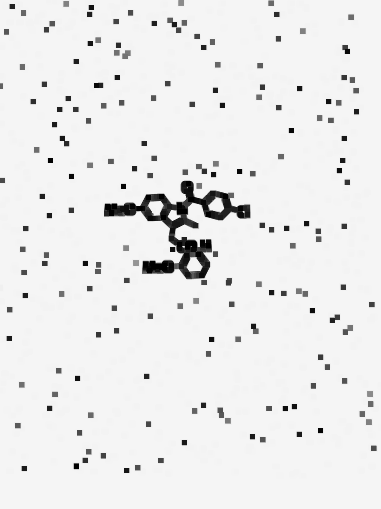 COc1ccc2c(c1)c(CC(=O)O)c(C)n2C(=O)c1ccc(Cl)cc1.COc1ccccc1